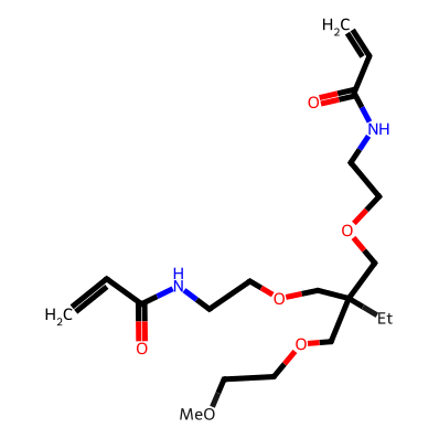 C=CC(=O)NCCOCC(CC)(COCCNC(=O)C=C)COCCOC